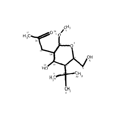 COC1OC(CO)C(C(C)(C)C)C(O)C1CC(C)=O